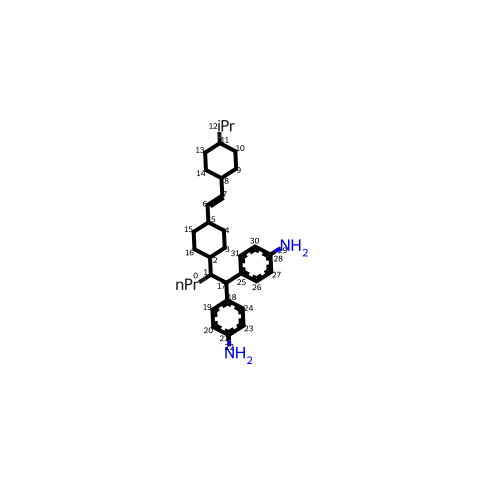 CCCC(C1CCC(/C=C/C2CCC(C(C)C)CC2)CC1)C(c1ccc(N)cc1)c1ccc(N)cc1